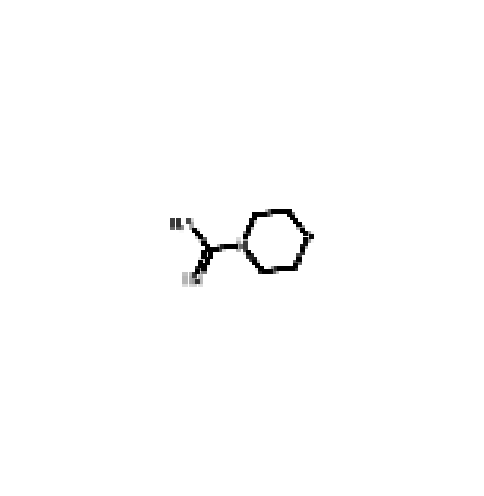 N=C(N)[N+]1CCOCC1